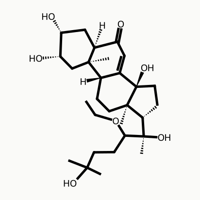 CCOC(CCC(C)(C)O)[C@](C)(O)[C@H]1CC[C@@]2(O)C3=CC(=O)[C@@H]4C[C@@H](O)[C@@H](O)C[C@]4(C)[C@H]3CC[C@]12C